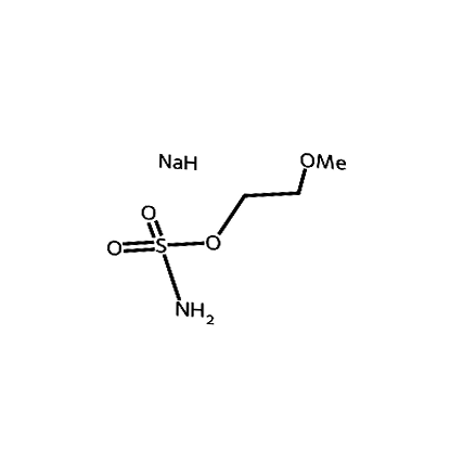 COCCOS(N)(=O)=O.[NaH]